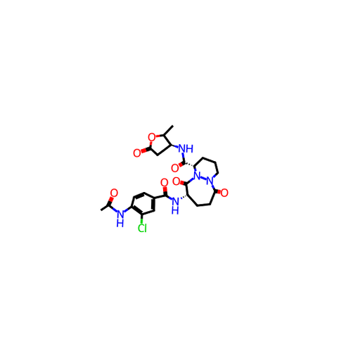 CC(=O)Nc1ccc(C(=O)N[C@H]2CCC(=O)N3CCC[C@@H](C(=O)N[C@H]4CC(=O)OC4C)N3C2=O)cc1Cl